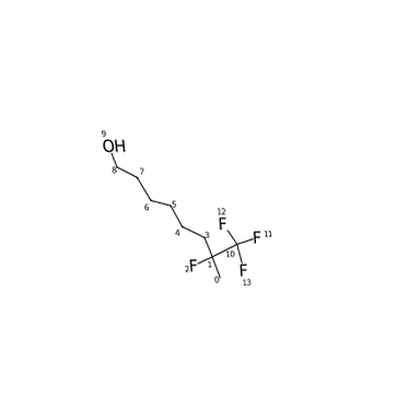 CC(F)(CCCCCCO)C(F)(F)F